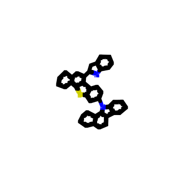 c1ccc2c(c1)CC(c1cc3ccccc3c3sc4cc(-n5c6ccccc6c6ccc7ccccc7c65)ccc4c13)=N2